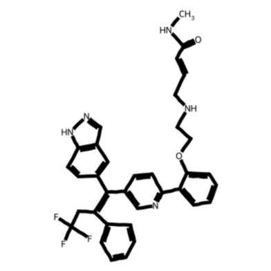 CNC(=O)/C=C/CNCCOc1ccccc1-c1ccc(/C(=C(/CC(F)(F)F)c2ccccc2)c2ccc3[nH]ncc3c2)cn1